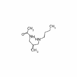 C=C(CNCCCC)CNC(C)=O